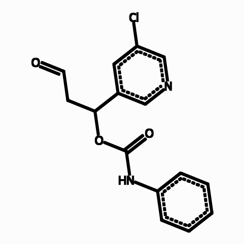 O=CCC(OC(=O)Nc1ccccc1)c1cncc(Cl)c1